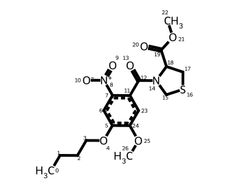 CCCCOc1cc([N+](=O)[O-])c(C(=O)N2CSCC2C(=O)OC)cc1OC